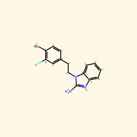 CC(C)(C)c1ccc(CCn2c(N)nc3ccccc32)cc1F